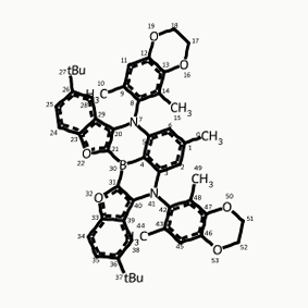 Cc1cc2c3c(c1)N(c1c(C)cc4c(c1C)OCCO4)c1c(oc4ccc(C(C)(C)C)cc14)B3c1oc3ccc(C(C)(C)C)cc3c1N2c1c(C)cc2c(c1C)OCCO2